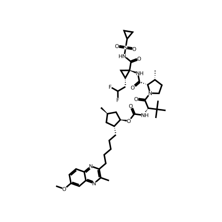 COc1ccc2nc(CCCCC[C@@H]3C[C@@H](C)C[C@H]3OC(=O)N[C@H](C(=O)N3CC[C@@H](C)[C@H]3C(=O)N[C@]3(C(=O)NS(=O)(=O)C4CC4)C[C@H]3CC(F)F)C(C)(C)C)c(C)nc2c1